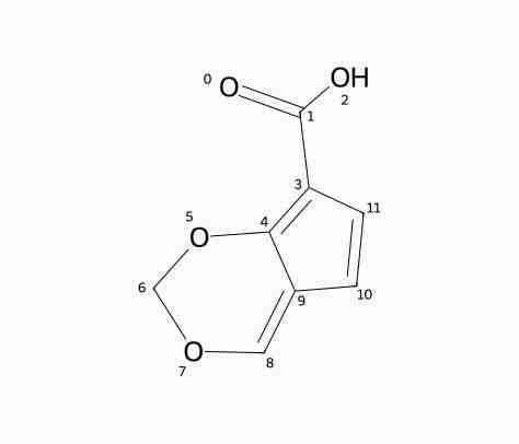 O=C(O)C1=C2OCOC=C2C=C1